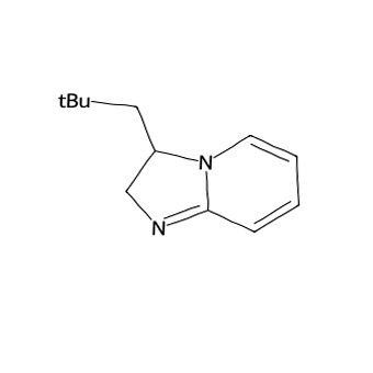 CC(C)(C)CC1CN=C2C=CC=CN21